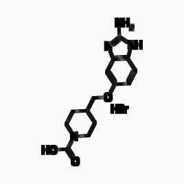 Br.Nc1nc2cc(OCC3CCN(C(=O)O)CC3)ccc2[nH]1